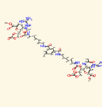 COC(=O)C1=C[C@H](NC(=N)N)[C@@H](NC(C)=O)[C@H]([C@H](OC(=O)NCCCCCCNC(=O)c2cc(C)cc(C(=O)NCCCCCCNC(=O)O[C@@H]([C@@H]3OC(C(=O)OC)=C[C@H](NC(=N)N)[C@H]3NC(C)=O)[C@H]3COC(=O)O3)c2)[C@H]2COC(=O)O2)O1